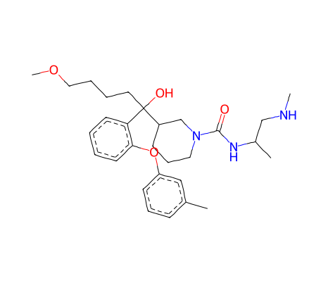 CNCC(C)NC(=O)N1CCCC(C(O)(CCCCOC)c2ccccc2Oc2cccc(C)c2)C1